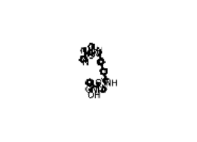 CN(C)C(C(=O)N1CCC[C@H]1c1ncc(-c2ccc(-c3ccc(-c4c[nH]c([C@@H]5CCCN5C(=O)[C@H](NC(=O)O)c5ccccc5)n4)cc3)cc2)[nH]1)c1cccnc1